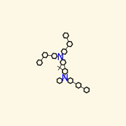 CC1(C)c2cc(N(c3ccccc3)c3ccc(-c4ccc(-c5ccccc5)cc4)cc3)ccc2-c2ccc(N(c3ccc(-c4cccc(-c5ccccc5)c4)cc3)c3ccc(-c4cccc(-c5ccccc5)c4)cc3)cc21